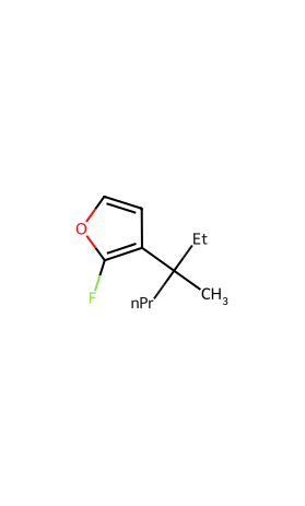 CCCC(C)(CC)c1ccoc1F